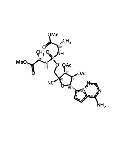 COC(=O)[C@H](C)NP(=O)(N[C@@H](C)C(=O)OC)OC[C@@]1(C#N)O[C@@H](c2ccc3c(N)ncnn23)[C@H](OC(C)=O)[C@@H]1OC(C)=O